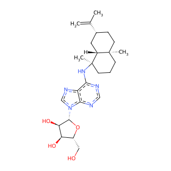 C=C(C)[C@@H]1CC[C@@]2(C)CCC[C@@](C)(Nc3ncnc4c3ncn4[C@@H]3O[C@H](CO)[C@@H](O)[C@H]3O)[C@@H]2C1